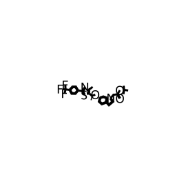 Cc1nc(-c2ccc(C(F)(F)F)cc2)sc1[C@H](C)Oc1ccc2ccn(CC(=O)OC(C)(C)C)c2c1